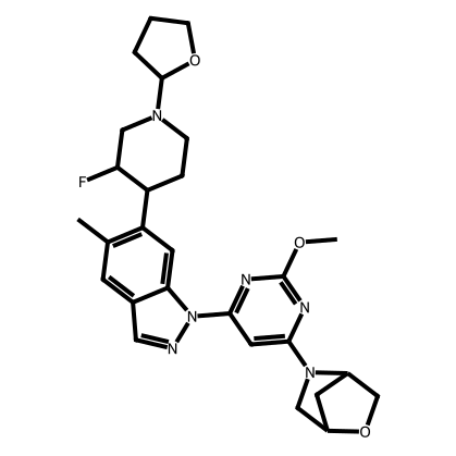 COc1nc(N2CC3CC2CO3)cc(-n2ncc3cc(C)c(C4CCN(C5CCCO5)CC4F)cc32)n1